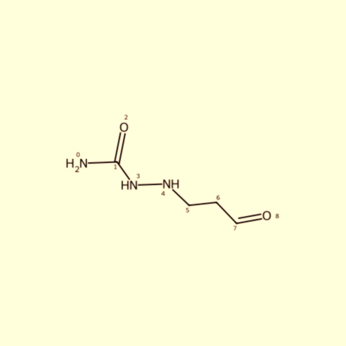 NC(=O)NNCCC=O